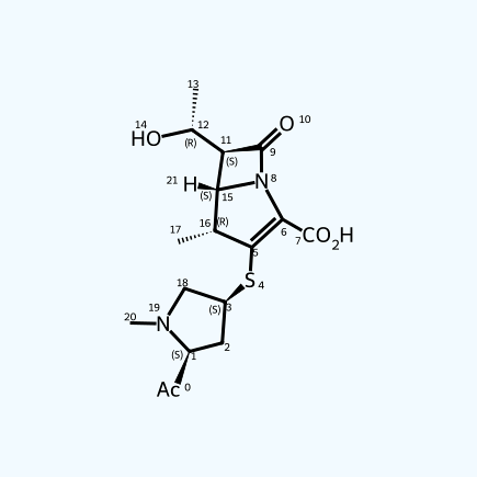 CC(=O)[C@@H]1C[C@H](SC2=C(C(=O)O)N3C(=O)[C@H]([C@@H](C)O)[C@H]3[C@H]2C)CN1C